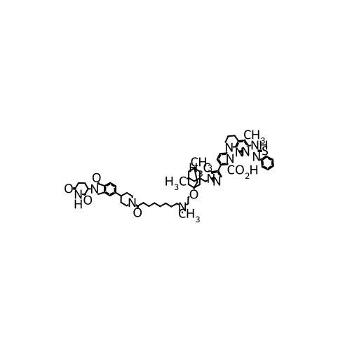 Cc1c(Nc2nc3ccccc3s2)nnc2c1CCCN2c1ccc(-c2cnn(CC34CC5(C)CC(C)(C3)CC(OCCN(C)CCCCCCCC(=O)N3CCC(c6ccc7c(c6)CN(C6CCC(=O)NC6=O)C7=O)CC3)(C5)C4)c2C)c(C(=O)O)n1